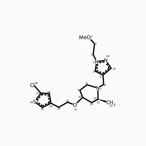 COCCn1cc(CN2CCC(OCCc3csc(Cl)c3)C[C@@H]2C)cn1